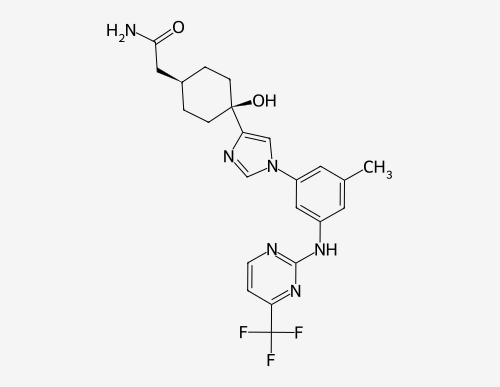 Cc1cc(Nc2nccc(C(F)(F)F)n2)cc(-n2cnc([C@]3(O)CC[C@@H](CC(N)=O)CC3)c2)c1